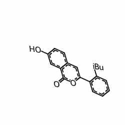 CCC(C)c1ccccc1-c1cc2ccc(O)cc2c(=O)o1